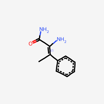 C/C(=C(/N)C(N)=O)c1ccccc1